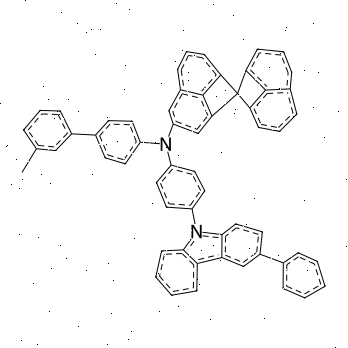 Cc1cccc(-c2ccc(N(c3ccc(-n4c5ccccc5c5cc(-c6ccccc6)ccc54)cc3)c3cc4c5c(cccc5c3)C43c4cccc5cccc3c45)cc2)c1